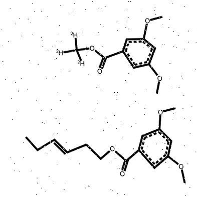 CCC=CCCOC(=O)c1cc(OC)cc(OC)c1.[2H]C([2H])([2H])OC(=O)c1cc(OC)cc(OC)c1